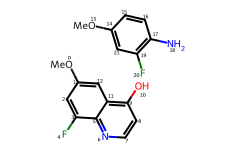 COc1cc(F)c2nccc(O)c2c1.COc1ccc(N)c(F)c1